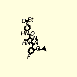 CCC(=O)N1CCC(NC(=O)c2c(C)[nH]c3c(-c4ccc(F)cc4OCC4CC4)ncnc23)CC1